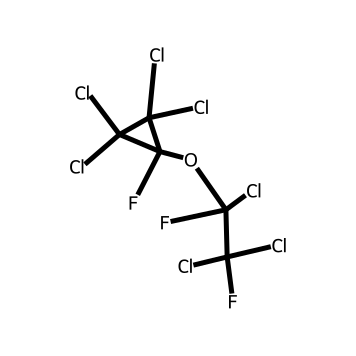 FC(Cl)(Cl)C(F)(Cl)OC1(F)C(Cl)(Cl)C1(Cl)Cl